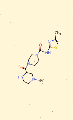 CC(C)N1CCNC(C(=O)N2CCN(C(=O)Nc3nc(C(F)(F)F)cs3)CC2)C1